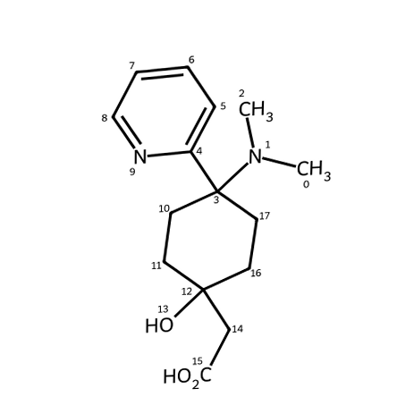 CN(C)C1(c2ccccn2)CCC(O)(CC(=O)O)CC1